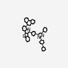 c1ccc(-c2ccc(-c3nc(-c4ccccc4)cc(-c4ccc(-c5nc6c(-c7cc8ccccc8c8ccccc78)cccc6c6oc7ccccc7c56)cc4)n3)cc2)cc1